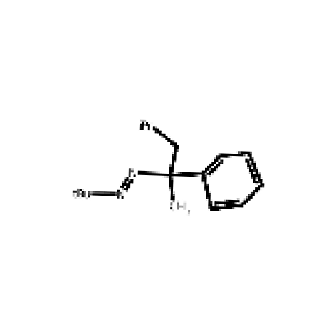 CC(C)CC(C)(/N=N/C(C)(C)C)c1ccccc1